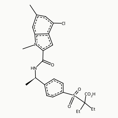 CCC(CC)(C(=O)O)S(=O)(=O)c1ccc([C@@H](C)NC(=O)c2cc3c(Cl)cc(C)cc3n2C)cc1